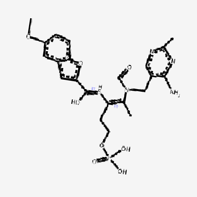 COc1ccc2oc(/C(O)=[SH]/C(CCOP(=O)(O)O)=C(/C)N(C=O)Cc3cnc(C)nc3N)cc2c1